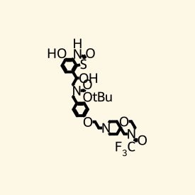 CC(C)(C)OC(=O)N(Cc1ccc(OCCN2CCC3(CC2)CN(C(=O)C(F)(F)F)CCO3)cc1)CC(O)c1ccc(O)c2[nH]c(=O)sc12